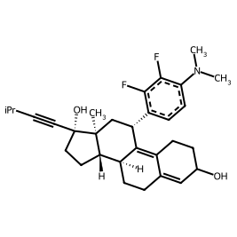 CC(C)C#C[C@]1(O)CC[C@H]2[C@@H]3CCC4=CC(O)CCC4=C3[C@@H](c3ccc(N(C)C)c(F)c3F)C[C@@]21C